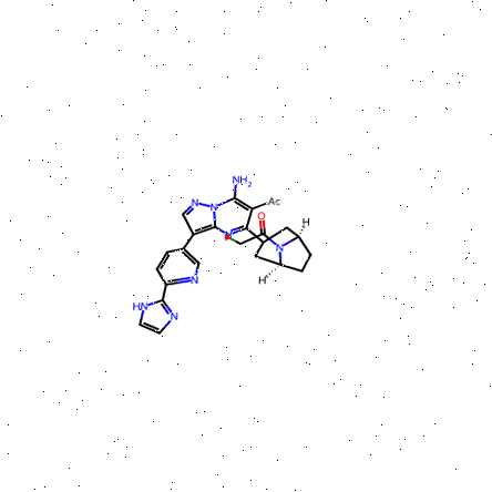 CC(=O)c1c(C2C[C@H]3CC[C@@H](C2)N3C(=O)CF)nc2c(-c3ccc(-c4ncc[nH]4)nc3)cnn2c1N